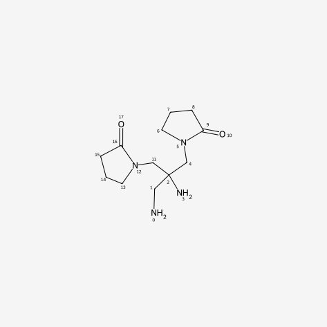 NCC(N)(CN1CCCC1=O)CN1CCCC1=O